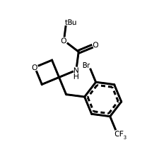 CC(C)(C)OC(=O)NC1(Cc2cc(C(F)(F)F)ccc2Br)COC1